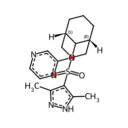 Cc1n[nH]c(C)c1S(=O)(=O)N1C[C@H]2CCC[C@@H](C1)C2Oc1cnccn1